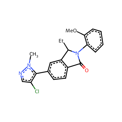 CCC1c2cc(-c3c(Cl)cnn3C)ccc2C(=O)N1c1ccccc1OC